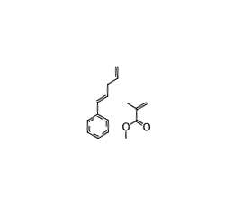 C=C(C)C(=O)OC.C=CCC=Cc1ccccc1